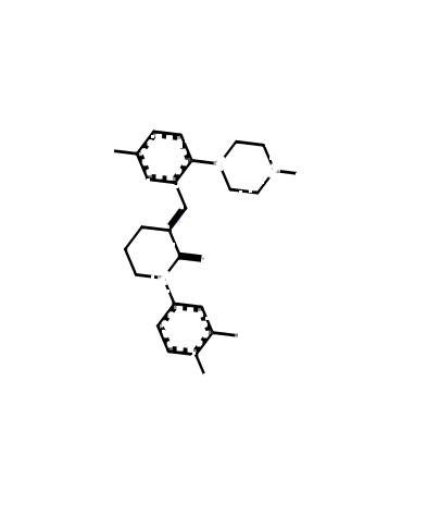 CN1CCN(c2ccc(F)cc2/C=C2\CCCN(c3ccc(F)c(F)c3)C2=O)CC1